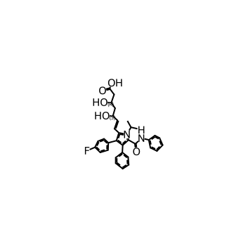 CC(C)n1c(C=C[C@@H](O)C[C@@H](O)CC(=O)O)c(-c2ccc(F)cc2)c(-c2ccccc2)c1C(=O)Nc1ccccc1